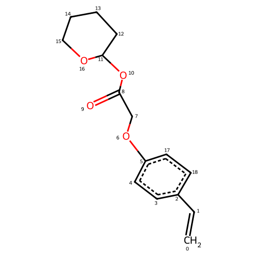 C=Cc1ccc(OCC(=O)OC2CCCCO2)cc1